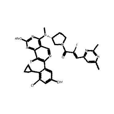 COc1nc(N(C)[C@@H]2CCN(C(=O)/C(F)=C/c3cc(C)nc(C)n3)C2)c2cnc(-c3cc(O)cc(Cl)c3C3CC3)c(F)c2n1